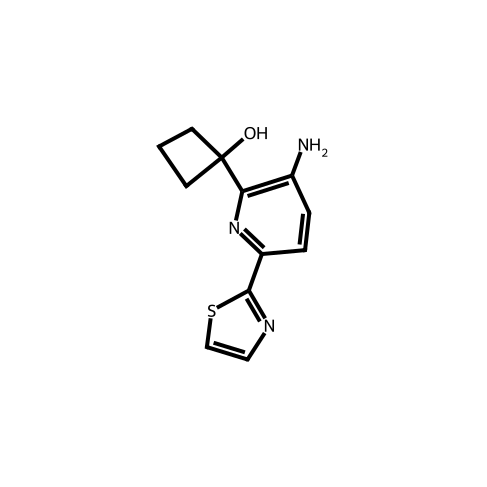 Nc1ccc(-c2nccs2)nc1C1(O)CCC1